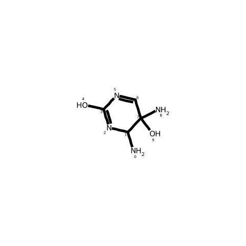 NC1N=C(O)N=CC1(N)O